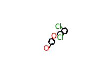 O=Cc1ccc(OCCc2c(Cl)cccc2Cl)cc1